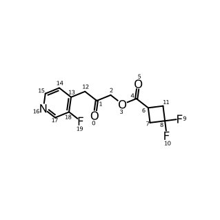 O=C(COC(=O)C1CC(F)(F)C1)Cc1ccncc1F